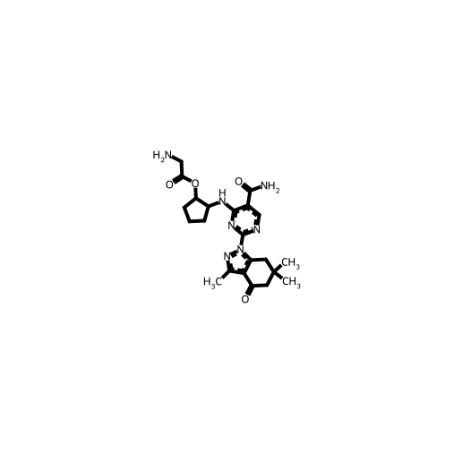 Cc1nn(-c2ncc(C(N)=O)c(NC3CCCC3OC(=O)CN)n2)c2c1C(=O)CC(C)(C)C2